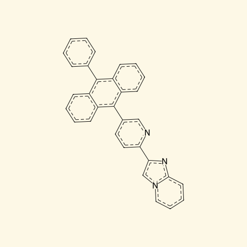 c1ccc(-c2c3ccccc3c(-c3ccc(-c4cn5ccccc5n4)nc3)c3ccccc23)cc1